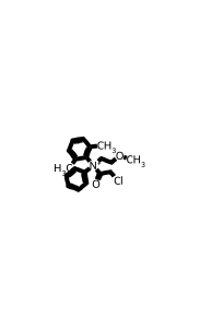 COCC[N+](C(=O)CCl)(c1ccccc1)c1c(C)cccc1C